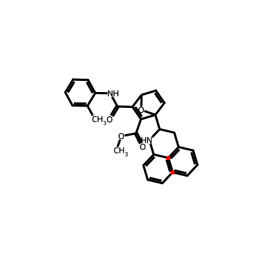 COC(=O)C1=C(C(=O)Nc2ccccc2C)C2C=CC1(C(Cc1ccccc1)Nc1ccccc1)O2